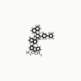 CC1(C)c2ccccc2-c2c(-c3ccc(-c4nc(-c5ccc(-c6ccccc6)cc5)cc(-c5cccc6ccccc56)n4)c4ccccc34)cccc21